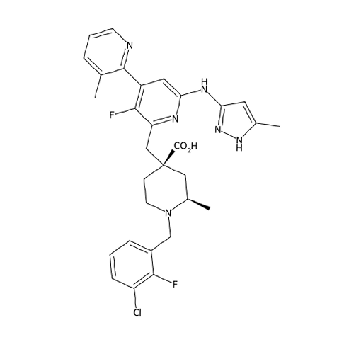 Cc1cc(Nc2cc(-c3ncccc3C)c(F)c(C[C@@]3(C(=O)O)CCN(Cc4cccc(Cl)c4F)[C@H](C)C3)n2)n[nH]1